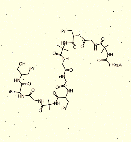 CCCCCCCC(=O)NC(C)(C)C(=O)NCC(=O)NC(CC(C)C)C(=O)NC(C)(C)C(=O)NCC(=O)NCC(=O)NC(CC(C)C)C(=O)NC(C)(C)C(=O)NCC(=O)NC(C(=O)NC(CO)CC(C)C)C(C)CC